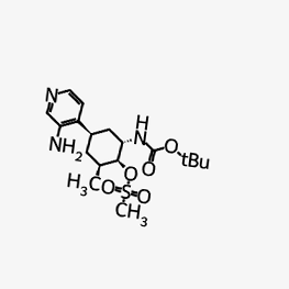 C[C@H]1C[C@@H](c2ccncc2N)C[C@H](NC(=O)OC(C)(C)C)[C@H]1OS(C)(=O)=O